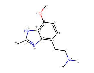 COc1ccc(CCN(C)C)c2nc(C)[nH]c12